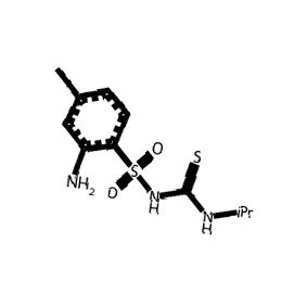 Cc1ccc(S(=O)(=O)NC(=S)NC(C)C)c(N)c1